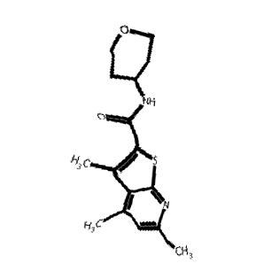 Cc1cc(C)c2c(C)c(C(=O)NC3CCOCC3)sc2n1